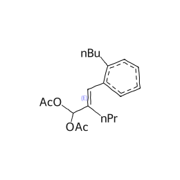 CCCCc1ccccc1/C=C(\CCC)C(OC(C)=O)OC(C)=O